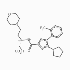 O=C(O)C[C@H](CCN1CCOCC1)NC(=O)c1cc(-c2ccccc2C(F)(F)F)n(C2CCCC2)n1